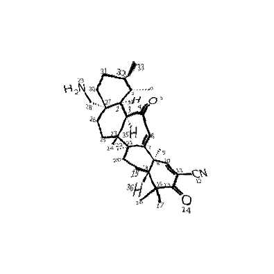 C[C@@H]1[C@H]2[C@H]3C(=O)C=C4[C@@]5(C)C=C(C#N)C(=O)C(C)(C)[C@@H]5CC[C@@]4(C)[C@]3(C)CC[C@@]2(CN)CC[C@H]1C